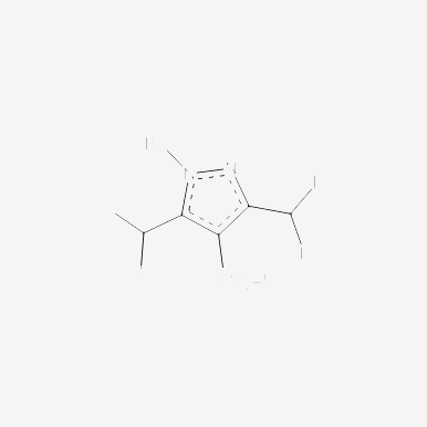 CCOC(=O)c1c(C(F)F)nn(C(C)(C)C)c1C(F)F